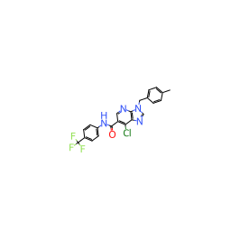 Cc1ccc(Cn2cnc3c(Cl)c(C(=O)Nc4ccc(C(F)(F)F)cc4)cnc32)cc1